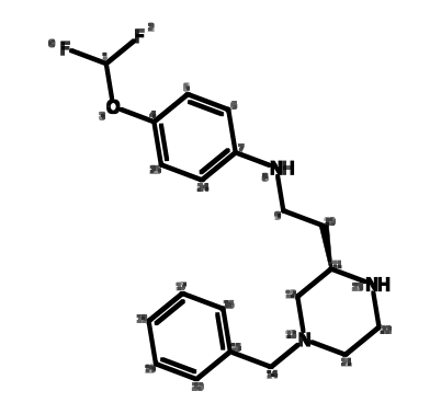 FC(F)Oc1ccc(NCC[C@@H]2CN(Cc3ccccc3)CCN2)cc1